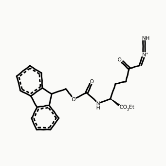 CCOC(=O)[C@H](CCC(=O)C=[N+]=N)NC(=O)OCC1c2ccccc2-c2ccccc21